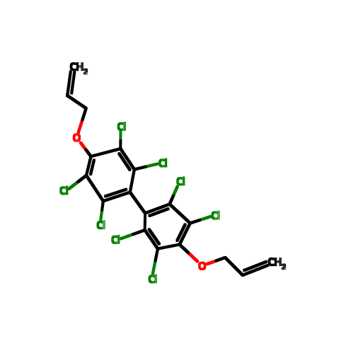 C=CCOc1c(Cl)c(Cl)c(-c2c(Cl)c(Cl)c(OCC=C)c(Cl)c2Cl)c(Cl)c1Cl